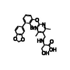 Cc1nc(Oc2cccc(-c3ccc4c(c3)OCO4)c2Br)nc(C)c1CNC(CO)C(=O)O